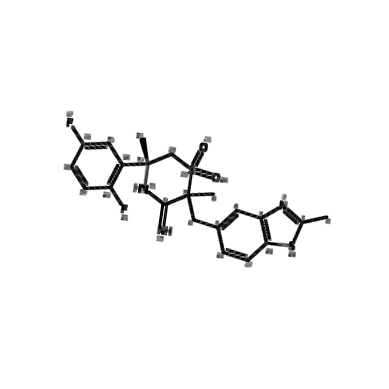 Cc1nc2cc(CC3(C)C(=N)N[C@](C)(c4cc(F)ccc4F)CS3(=O)=O)ccc2s1